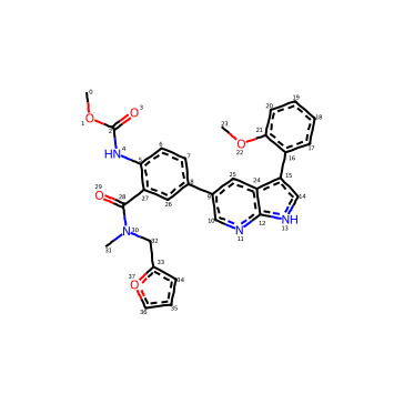 COC(=O)Nc1ccc(-c2cnc3[nH]cc(-c4ccccc4OC)c3c2)cc1C(=O)N(C)Cc1ccco1